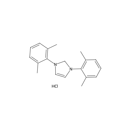 Cc1cccc(C)c1N1C=CN(c2c(C)cccc2C)C1.Cl